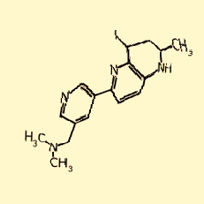 CC1CC(I)c2nc(-c3cncc(CN(C)C)c3)ccc2N1